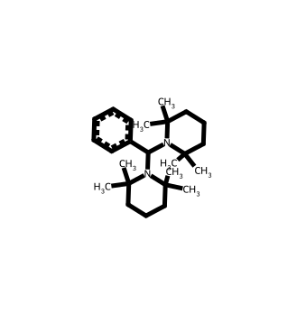 CC1(C)CCCC(C)(C)N1C(c1ccccc1)N1C(C)(C)CCCC1(C)C